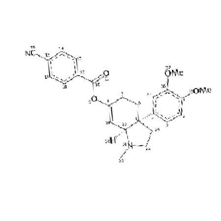 COc1ccc([C@@]23CCC(OC(=O)c4ccc(C#N)cc4)=C[C@@H]2N(C)CC3)cc1OC